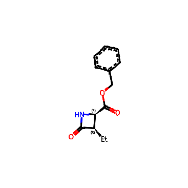 CC[C@H]1C(=O)N[C@H]1C(=O)OCc1ccccc1